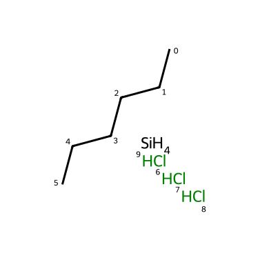 CCCCCC.Cl.Cl.Cl.[SiH4]